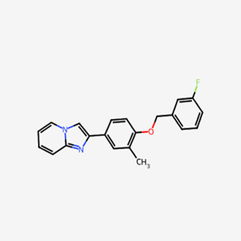 Cc1cc(-c2cn3ccccc3n2)ccc1OCc1cccc(F)c1